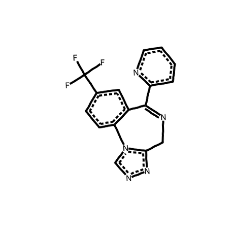 FC(F)(F)c1ccc2c(c1)C(c1ccccn1)=NCc1nncn1-2